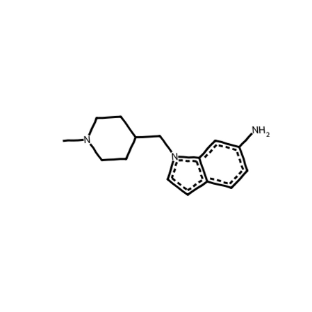 CN1CCC(Cn2ccc3ccc(N)cc32)CC1